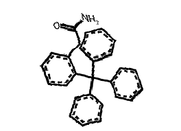 NC(=O)Cc1ccccc1C(c1ccccc1)(c1ccccc1)c1ccccc1